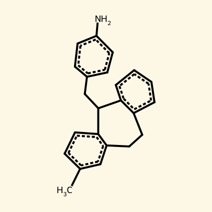 Cc1ccc2c(c1)CCc1ccccc1C2Cc1ccc(N)cc1